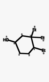 CCC1CCC(O)CC1(CC)CC